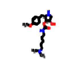 COc1ccc(C[C@H]2NC[C@H](O)[C@H]2OC(=O)NCCCCCN(C)C)cc1